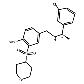 COc1ccc(CN[C@H](C)c2cccc(Cl)c2)cc1S(=O)(=O)N1CCOCC1